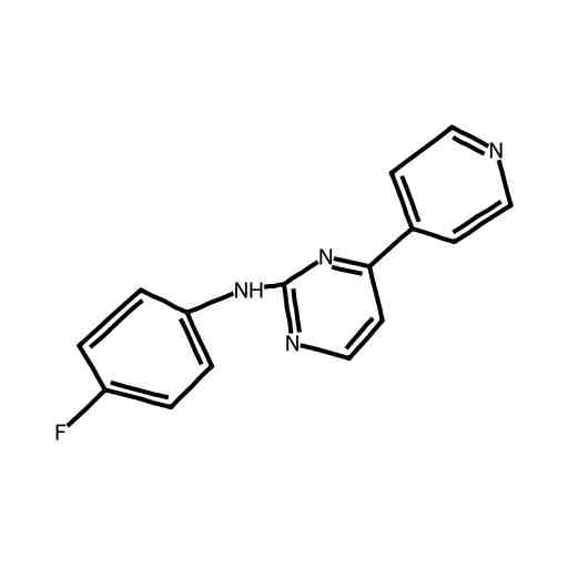 Fc1ccc(Nc2nccc(-c3ccncc3)n2)cc1